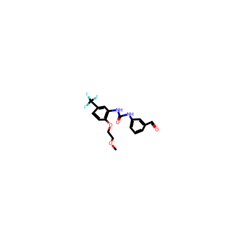 COCCOc1ccc(C(F)(F)F)cc1NC(=O)Nc1cccc(C=O)c1